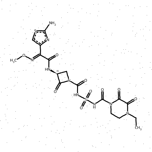 CCN1CCN(C(=O)NS(=O)(=O)NC(=O)N2C[C@H](NC(=O)C(=NOC)c3csc(N)n3)C2=O)C(=O)C1=O